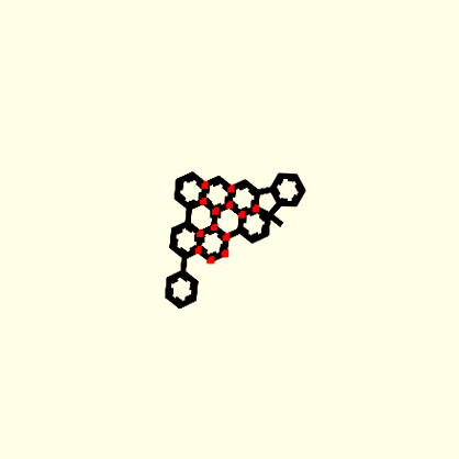 CC1(C)c2ccccc2-c2ccc(N(c3ccccc3-c3ccc(-c4ccccc4)cc3)c3ccccc3-c3ccccc3-c3ccccc3-c3ccccc3)cc21